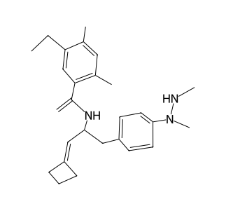 C=C(NC(C=C1CCC1)Cc1ccc(N(C)NC)cc1)c1cc(CC)c(C)cc1C